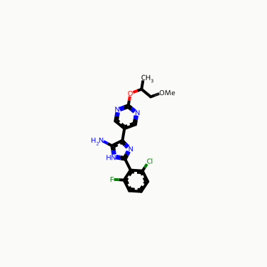 COCC(C)Oc1ncc(-c2nc(-c3c(F)cccc3Cl)[nH]c2N)cn1